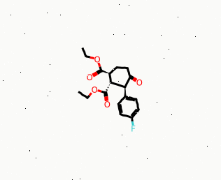 CCOC(=O)[C@@H]1[C@@H](C(=O)OCC)CCC(=O)[C@H]1c1ccc(F)cc1